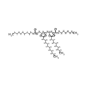 CCCCCCCCCCCC(=O)OCC(COCC(COC(=O)CCCCCCCCC)OC(=O)CCCCCCCCC)OC(=O)CCCCCCCCCCC